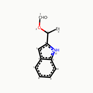 CCC(O[C]=O)c1cc2ccccc2[nH]1